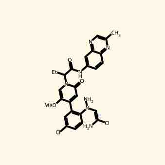 CCC(C(=O)Nc1ccc2nc(C)cnc2c1)n1cc(OC)c(-c2cc(Cl)ccc2N(N)/C=C(\N)Cl)cc1=O